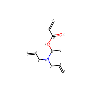 C=CCN(CC=C)C(C)OC(=O)C=C